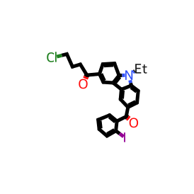 CCn1c2ccc(C(=O)CCCCl)cc2c2cc(C(=O)c3ccccc3I)ccc21